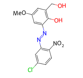 COc1cc(CO)c(O)c(N=Nc2cc(Cl)ccc2[N+](=O)[O-])c1